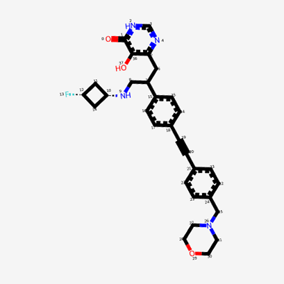 O=c1[nH]cnc(CC(CN[C@H]2C[C@@H](F)C2)c2ccc(C#Cc3ccc(CN4CCOCC4)cc3)cc2)c1O